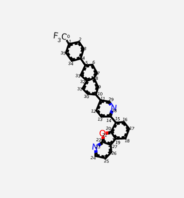 FC(F)(F)c1ccc(-c2ccc3cc(-c4ccc(-c5cccc6c5oc5ncccc56)nc4)ccc3c2)cc1